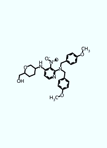 COc1ccc(CN(Cc2ccc(OC)cc2)c2nccc(NC3CCC(CO)OC3)c2[N+](=O)[O-])cc1